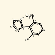 O=[N+]([O-])c1cccc(F)c1-c1nccs1